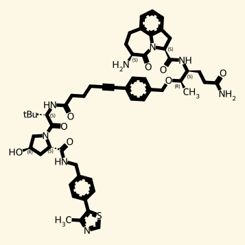 Cc1ncsc1-c1ccc(CNC(=O)[C@@H]2C[C@@H](O)CN2C(=O)[C@@H](NC(=O)CCCC#Cc2ccc(CO[C@H](C)[C@H](CCC(N)=O)NC(=O)[C@@H]3Cc4cccc5c4N3C(=O)[C@@H](N)CC5)cc2)C(C)(C)C)cc1